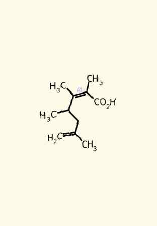 C=C(C)CC(C)/C(C)=C(/C)C(=O)O